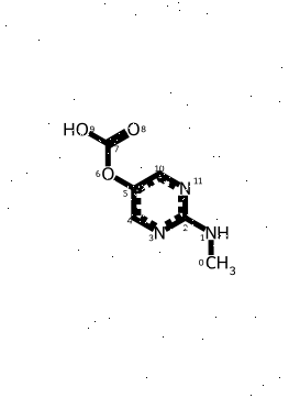 CNc1ncc(OC(=O)O)cn1